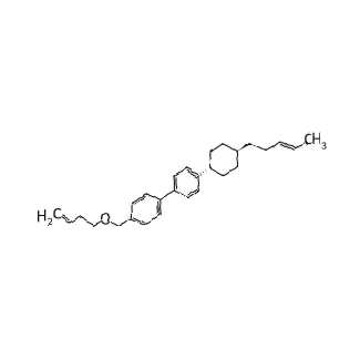 C=CCCOCc1ccc(-c2ccc([C@H]3CC[C@H](CCC=CC)CC3)cc2)cc1